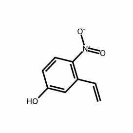 C=Cc1cc(O)ccc1[N+](=O)[O-]